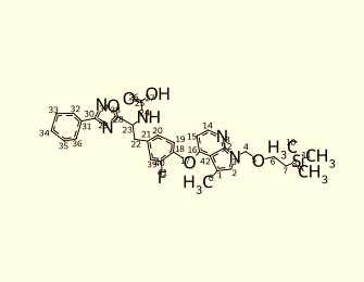 Cc1cn(COCC[Si](C)(C)C)c2nccc(Oc3ccc(CC(NC(=O)O)c4nc(-c5ccccc5)no4)cc3F)c12